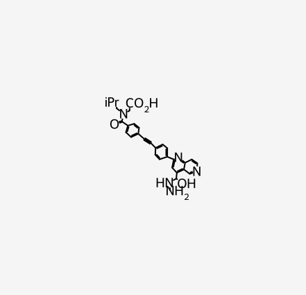 CC(C)CN(CC(=O)O)C(=O)c1ccc(C#Cc2ccc(-c3cc(C(O)NN)c4cnccc4n3)cc2)cc1